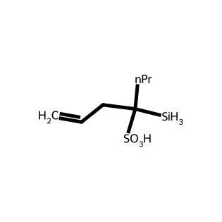 C=CCC([SiH3])(CCC)S(=O)(=O)O